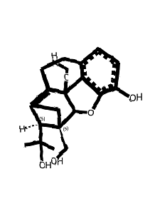 CC(C)(O)[C@H]1C2=C3C4Cc5ccc(O)c6c5C3(CCN4)C(O6)[C@@]1(CO)C2